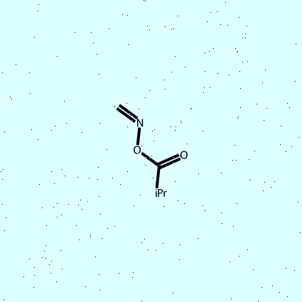 [CH]=NOC(=O)C(C)C